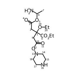 CCOC(=O)C(CC(=O)OC(C)N)(CC(=O)ON1CCNCC1)OCC